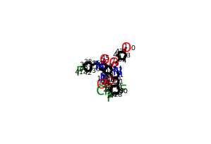 COc1ccc(COc2c3c(c(N(C)S(C)(=O)=O)c4cc(Cc5cc(Cl)c(F)cc5F)cnc24)CN(Cc2ccc(F)cc2)C3=O)cc1